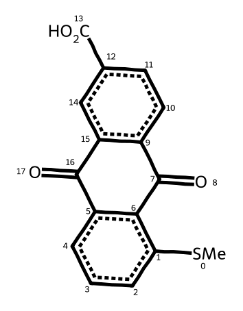 CSc1cccc2c1C(=O)c1ccc(C(=O)O)cc1C2=O